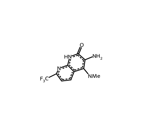 CNc1c(N)c(=O)[nH]c2nc(C(F)(F)F)ccc12